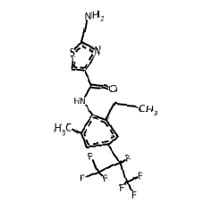 CCc1cc(C(F)(C(F)(F)F)C(F)(F)F)cc(C)c1NC(=O)c1csc(N)n1